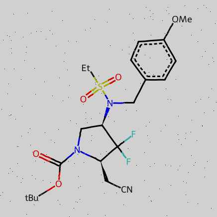 CCS(=O)(=O)N(Cc1ccc(OC)cc1)[C@@H]1CN(C(=O)OC(C)(C)C)[C@H](CC#N)C1(F)F